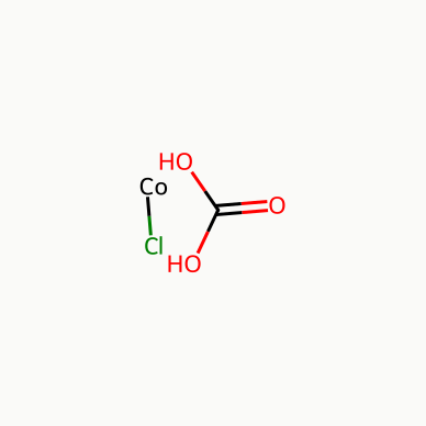 O=C(O)O.[Cl][Co]